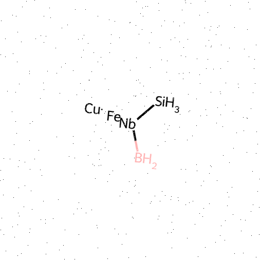 [BH2][Nb][SiH3].[Cu].[Fe]